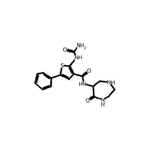 NC(=O)Nc1sc(-c2ccccc2)cc1C(=O)NC1CNCCNC1=O